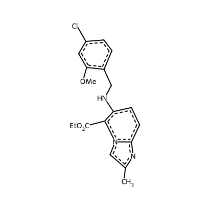 CCOC(=O)c1c(NCc2ccc(Cl)cc2OC)ccc2nc(C)cn12